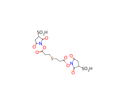 O=C(CCSCCC(=O)ON1C(=O)CC(S(=O)(=O)O)C1=O)ON1C(=O)CC(S(=O)(=O)O)C1=O